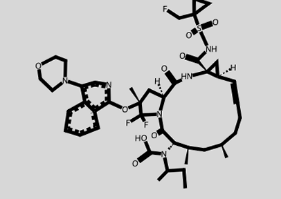 CCC(C)N(C(=O)O)[C@@H]1C(=O)N2[C@@H](C[C@@](C)(Oc3ncc(N4CCOCC4)c4ccccc34)C2(F)F)C(=O)N[C@]2(C(=O)NS(=O)(=O)C3(CF)CC3)C[C@H]2/C=C\CC[C@@H](C)C[C@H]1C